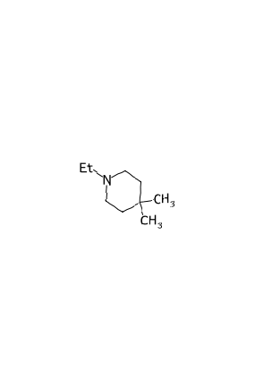 [CH2]CN1CCC(C)(C)CC1